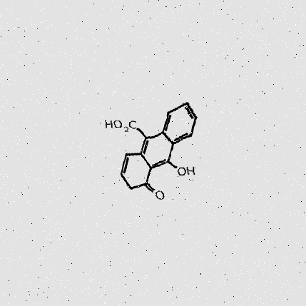 O=C1CC=Cc2c1c(O)c1ccccc1c2C(=O)O